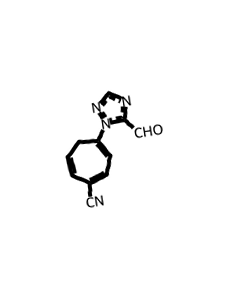 N#CC1=CC=C(n2ncnc2C=O)CC=C1